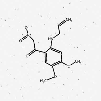 C=CCNc1cc(OC)c(OC)cc1C(=O)C[N+](=O)[O-]